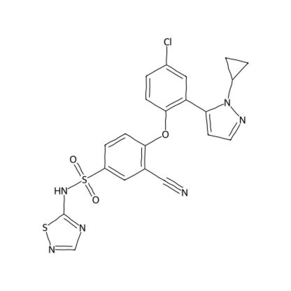 N#Cc1cc(S(=O)(=O)Nc2ncns2)ccc1Oc1ccc(Cl)cc1-c1ccnn1C1CC1